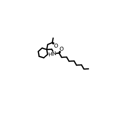 CCCCCCCCC(=O)NCC1(CC(C)=O)CCCCC1